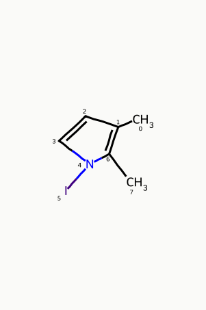 Cc1ccn(I)c1C